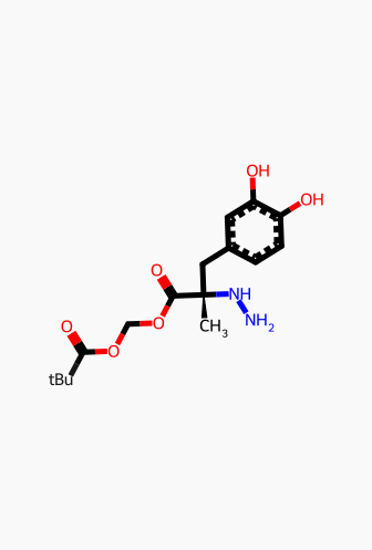 CC(C)(C)C(=O)OCOC(=O)[C@](C)(Cc1ccc(O)c(O)c1)NN